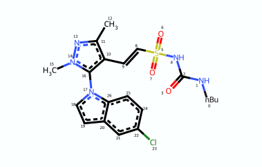 CCCCNC(=O)NS(=O)(=O)C=Cc1c(C)nn(C)c1-n1ccc2cc(Cl)ccc21